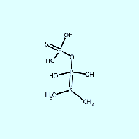 CS(C)=P(O)(O)OP(O)(O)=S